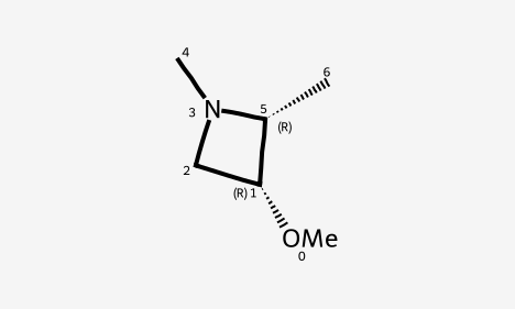 CO[C@@H]1CN(C)[C@@H]1C